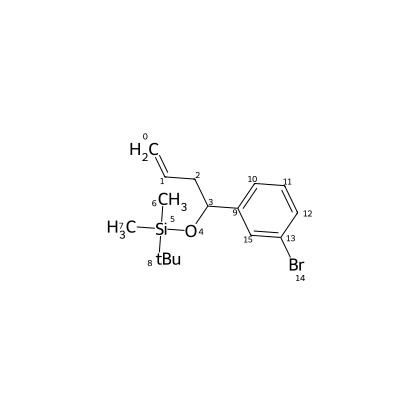 C=CCC(O[Si](C)(C)C(C)(C)C)c1cccc(Br)c1